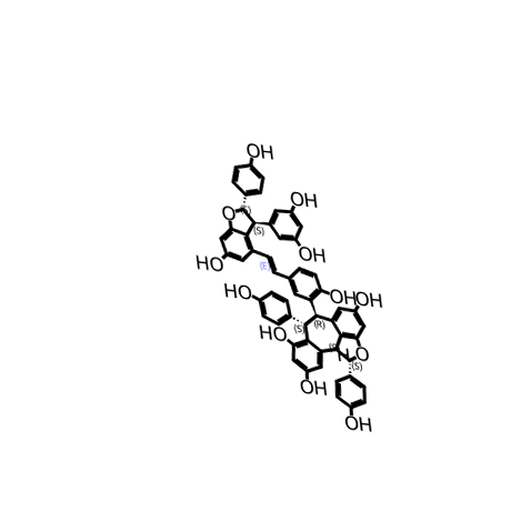 Oc1ccc([C@H]2c3c(O)cc(O)cc3[C@H]3c4c(cc(O)cc4[C@@H]2c2cc(/C=C/c4cc(O)cc5c4[C@H](c4cc(O)cc(O)c4)[C@@H](c4ccc(O)cc4)O5)ccc2O)O[C@@H]3c2ccc(O)cc2)cc1